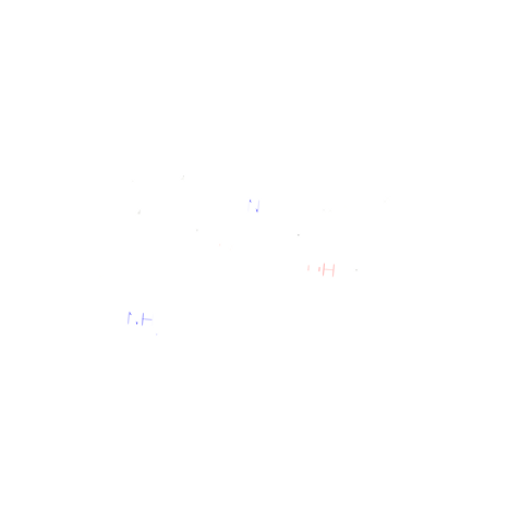 Nc1ccc2c(c1)C(=O)C(CN1CCC(O)(c3ccccc3)CC1)CC2